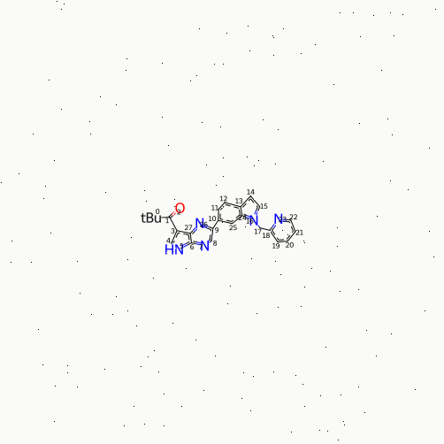 CC(C)(C)C(=O)c1c[nH]c2ncc(-c3ccc4ccn(Cc5ccccn5)c4c3)nc12